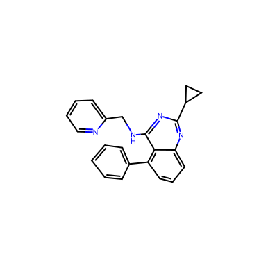 c1ccc(-c2cccc3nc(C4CC4)nc(NCc4ccccn4)c23)cc1